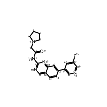 O=C(CN1CCCC1)Nc1ncc2ccc(-c3cncc(F)c3)cc2n1